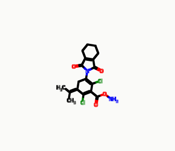 CC(C)=C1CC(N2C(=O)C3=C(CCCC3)C2=O)=C(Cl)C(C(=O)ON)=C1Cl